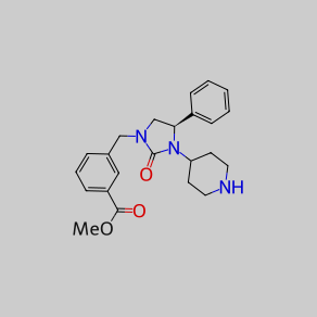 COC(=O)c1cccc(CN2C[C@@H](c3ccccc3)N(C3CCNCC3)C2=O)c1